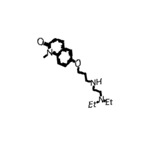 CCN(CC)CCNCCCOc1ccc2c(ccc(=O)n2C)c1